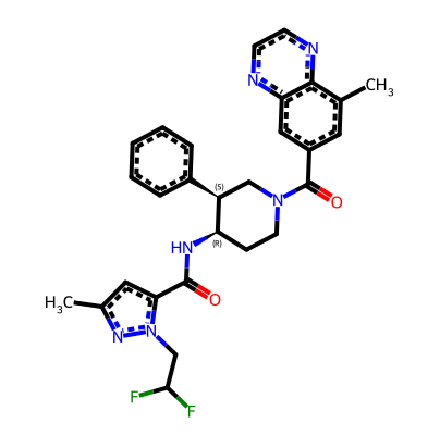 Cc1cc(C(=O)N[C@@H]2CCN(C(=O)c3cc(C)c4nccnc4c3)C[C@@H]2c2ccccc2)n(CC(F)F)n1